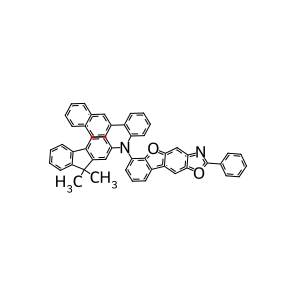 CC1(C)c2ccccc2-c2ccc(N(c3ccccc3-c3ccc4ccccc4c3)c3cccc4c3oc3cc5nc(-c6ccccc6)oc5cc34)cc21